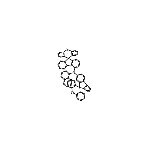 c1ccc2c(c1)Oc1ccccc1C21c2ccccc2-c2ccc(N(c3cccc4c3-c3ccccc3C43c4ccccc4Sc4ccccc43)c3cccc4ccccc34)cc21